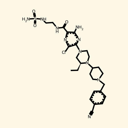 CC[C@H]1CN(c2nc(N)c(C(=O)NCCNS(N)(=O)=O)nc2Cl)CCN1C1CCN(Cc2ccc(C#N)cc2)CC1